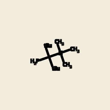 CC(C)(C)C(P)(C(C)(C)C)[Si](C)(C)C